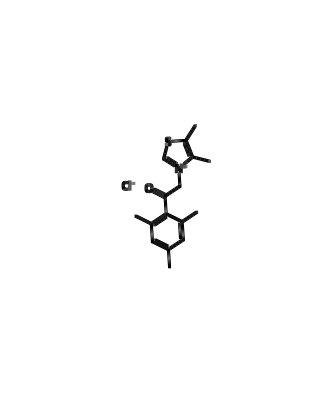 Cc1cc(C)c(C(=O)C[n+]2csc(C)c2C)c(C)c1.[Cl-]